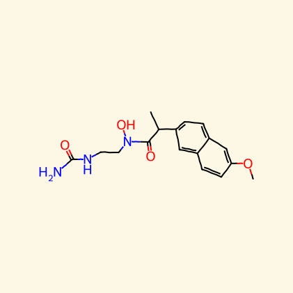 COc1ccc2cc(C(C)C(=O)N(O)CCNC(N)=O)ccc2c1